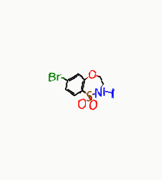 O=S1(=O)NCCOc2cc(Br)ccc21